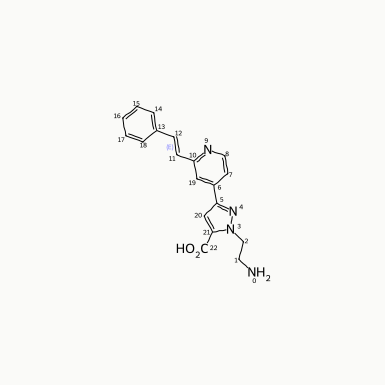 NCCn1nc(-c2ccnc(/C=C/c3ccccc3)c2)cc1C(=O)O